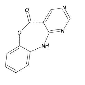 O=C1Oc2ccccc2Nc2ncncc21